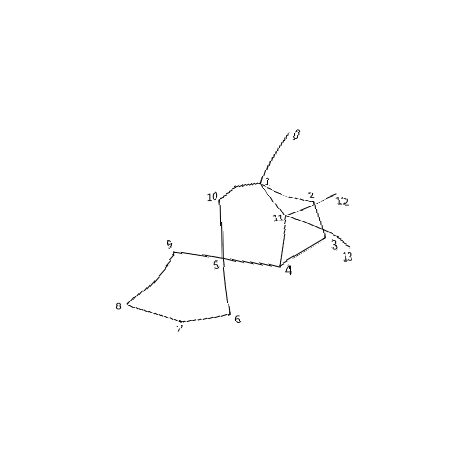 CC12CCC(C3(CCCC3)C1)C2(C)C